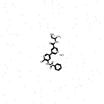 CC(CN)NC(=O)c1cncc(-c2cnc(Cl)c(NS(=O)(=O)c3ccccc3)c2)c1.Cl